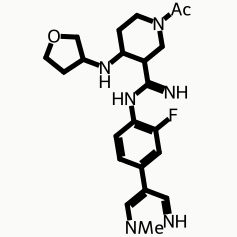 CN/C=C(\C=N)c1ccc(NC(=N)C2CN(C(C)=O)CCC2NC2CCOC2)c(F)c1